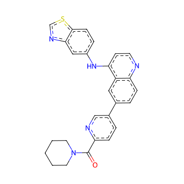 O=C(c1ccc(-c2ccc3nccc(Nc4ccc5scnc5c4)c3c2)cn1)N1CCCCC1